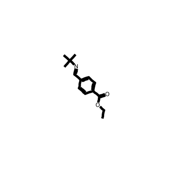 CCOC(=O)c1ccc(C=NC(C)(C)C)cc1